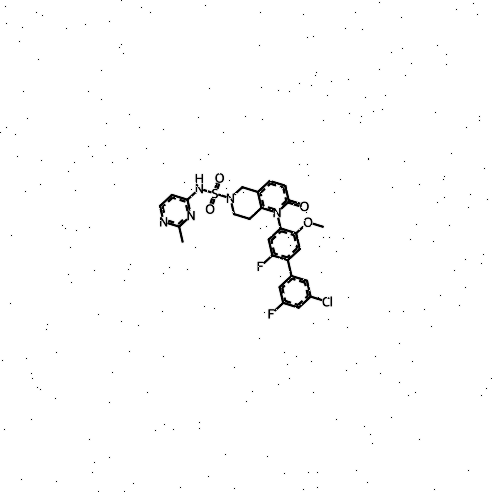 COc1cc(-c2cc(F)cc(Cl)c2)c(F)cc1-n1c2c(ccc1=O)CN(S(=O)(=O)Nc1ccnc(C)n1)CC2